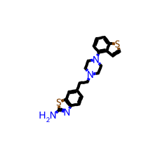 Nc1nc2ccc(CCN3CCN(c4cccc5sccc45)CC3)cc2s1